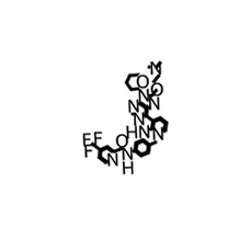 Cc1ccc(NC(=O)c2cc(C(F)(F)F)ccn2)cc1Nc1ncccc1-c1ncnc2c1nc(OCCN(C)C)n2C1CCCCO1